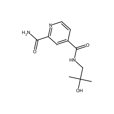 CC(C)(O)CNC(=O)c1[c]c(C(N)=O)ncc1